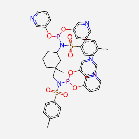 Cc1ccc(S(=O)(=O)N(CC2(C)CCCC(N(P(Oc3cccnc3)Oc3cccnc3)S(=O)(=O)c3ccc(C)cc3)C2)P(Oc2cccnc2)Oc2cccnc2)cc1